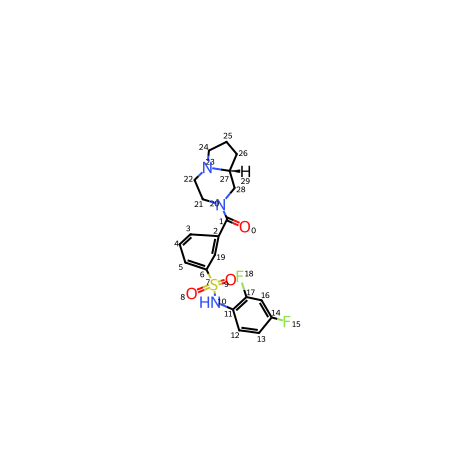 O=C(c1cccc(S(=O)(=O)Nc2ccc(F)cc2F)c1)N1CCN2CCC[C@@H]2C1